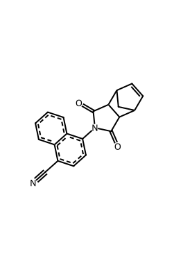 N#Cc1ccc(N2C(=O)C3C4C=CC(C4)C3C2=O)c2ccccc12